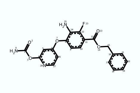 NC(=O)Oc1cc(Oc2ccc(C(=O)OCc3ccccc3)c(F)c2N)ccn1